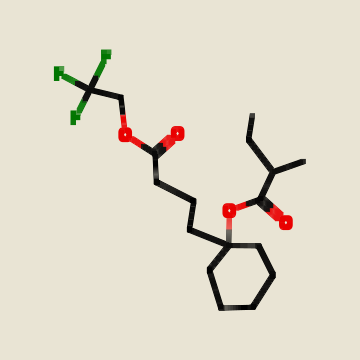 CCC(C)C(=O)OC1(CCCC(=O)OCC(F)(F)F)CCCCC1